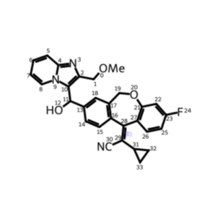 COCc1nc2ccccn2c1C(O)c1ccc2c(c1)COc1cc(F)ccc1/C2=C(/C#N)C1CC1